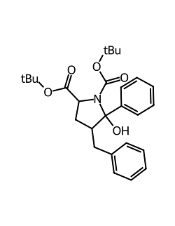 CC(C)(C)OC(=O)C1CC(Cc2ccccc2)C(O)(c2ccccc2)N1C(=O)OC(C)(C)C